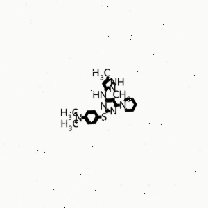 Cc1cc(Nc2nc(Sc3ccc(N(C)C)cc3)nc(N3CCCCC3)c2C)n[nH]1